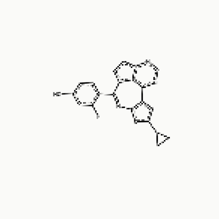 Oc1ccc(C2=Nc3sc(C4CC4)cc3-c3ncnn4ccc2c34)c(F)c1